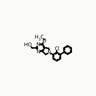 COc1nc(CO)nc2c1CN(c1cccc(-c3ccccc3)c1Cl)C2